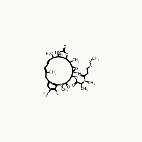 CSSCCC(=O)N(C)C(C)C(=O)OC1CC(=O)N(C)c2cc(cc(C)c2Cl)C/C(C)=C/C=C/C(C)C2(O)CC(OC(=O)N2)C(C)C2OC12C